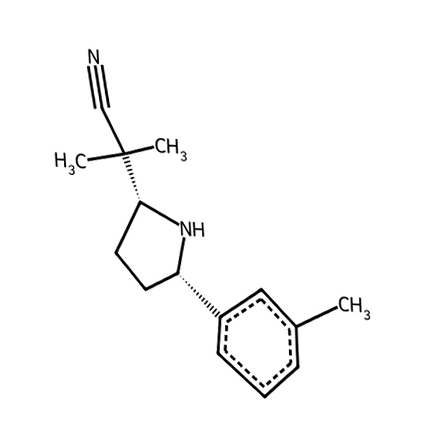 Cc1cccc([C@@H]2CC[C@H](C(C)(C)C#N)N2)c1